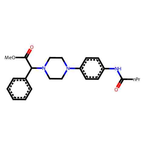 CCCC(=O)Nc1ccc(N2CCN(C(C(=O)OC)c3ccccc3)CC2)cc1